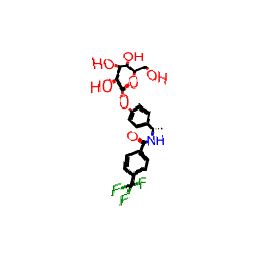 C[C@H](NC(=O)c1ccc(C(F)(F)F)cc1)c1ccc(OC2OC(CO)C(O)C(O)C2O)cc1